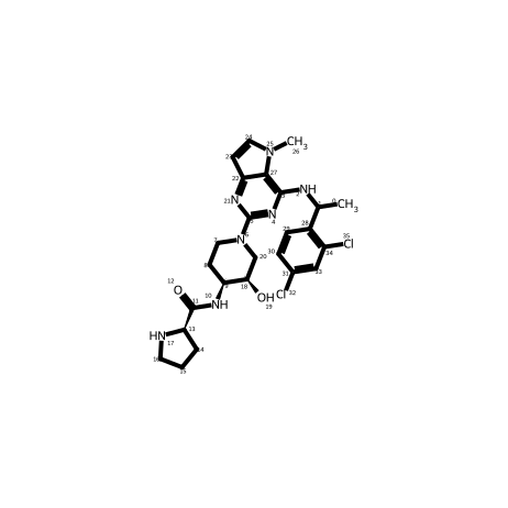 CC(Nc1nc(N2CC[C@H](NC(=O)[C@H]3CCCN3)[C@H](O)C2)nc2ccn(C)c12)c1ccc(Cl)cc1Cl